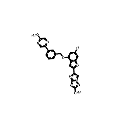 COc1cnc(-c2cccc(COc3cc(Cl)cc4oc(-c5cn6nc(OC)sc6n5)cc34)c2)cn1